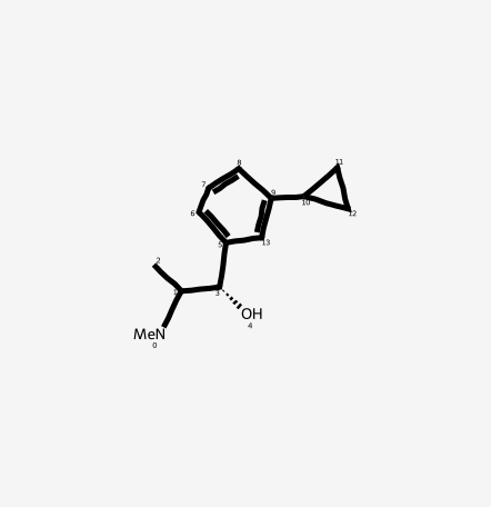 CNC(C)[C@@H](O)c1cccc(C2CC2)c1